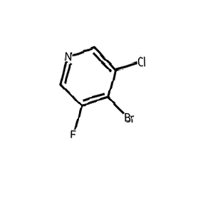 Fc1cncc(Cl)c1Br